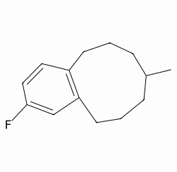 CC1CCCc2ccc(F)cc2CCC1